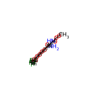 CCOCCOCCC(=O)NCCCC[C@H](N)C(=O)CCCCOCCOCCOCCOCCC(=O)Oc1c(F)c(F)c(F)c(F)c1F